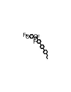 CCCC1CC=C(c2ccc(-c3ccc(C(F)(F)Oc4ccc(OCF)cc4)c(F)c3)cc2)CC1